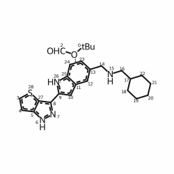 CC(C)(C)OC=O.c1cc2[nH]nc(-c3cc4cc(CNCC5CCCCC5)ccc4[nH]3)c2s1